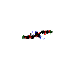 Cc1c(N)ccc(-c2ccc(N)cc2C(=O)/C=C/c2ccc(OC(=O)c3ccc(OCC(F)(F)F)cc3)cc2)c1C(=O)/C=C/c1ccc(OC(=O)c2ccc(OCC(F)(F)F)cc2)cc1